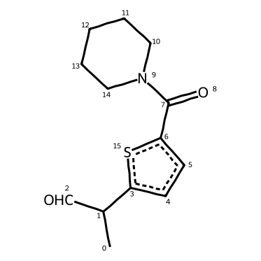 CC(C=O)c1ccc(C(=O)N2CCCCC2)s1